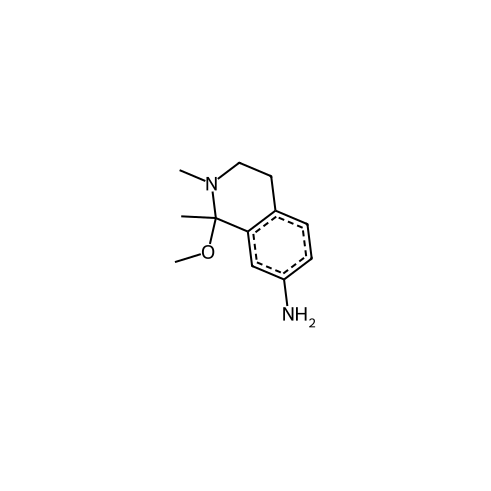 COC1(C)c2cc(N)ccc2CCN1C